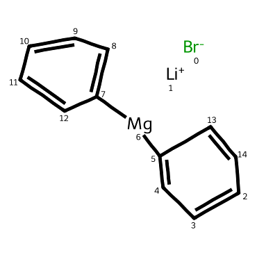 [Br-].[Li+].c1cc[c]([Mg][c]2ccccc2)cc1